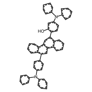 Oc1cc(N(c2ccccc2)c2ccccc2)ccc1-c1cc2c3ccccc3c(-c3ccc(N(c4ccccc4)c4ccccc4)cc3)cc2c2ccccc12